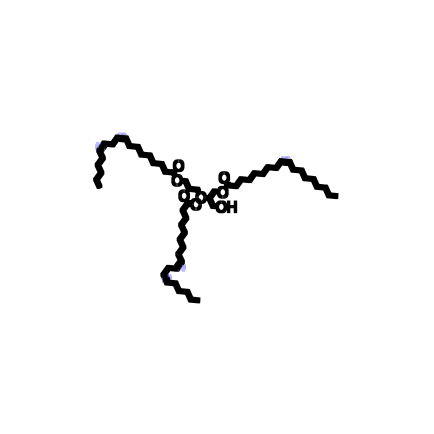 CCCCC/C=C\C/C=C\CCCCCCCC(=O)OCC(COC(CO)COC(=O)CCCCCCC/C=C\CCCCCCCC)OC(=O)CCCCCCC/C=C\C/C=C\CCCCC